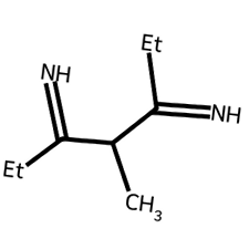 CCC(=N)C(C)C(=N)CC